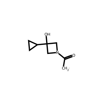 [CH2]C(=O)N1CC(O)(C2CC2)C1